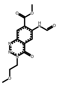 COCCn1nnc2cc(C(=O)OC)c(NC=O)cc2c1=O